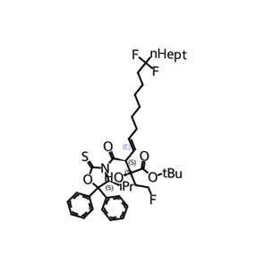 CCCCCCCC(F)(F)CCCCCC/C=C/[C@H](C(=O)N1C(=S)OC(c2ccccc2)(c2ccccc2)[C@@H]1C(C)C)[C@@](O)(CCF)C(=O)OC(C)(C)C